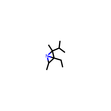 CCC12C(C)N1C2(C)C(C)C